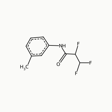 Cc1cccc(NC(=O)C(F)C(F)F)c1